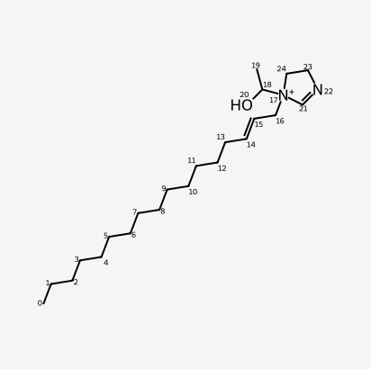 CCCCCCCCCCCCCCC=CC[N+]1(C(C)O)C=NCC1